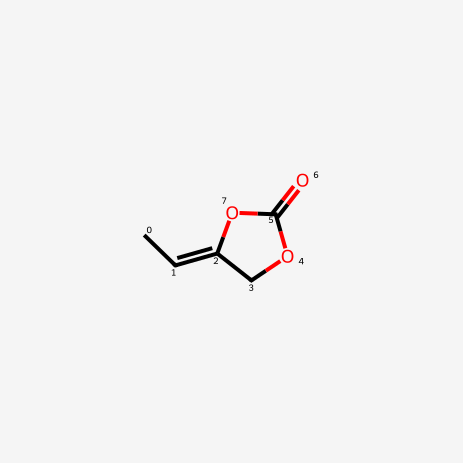 CC=C1COC(=O)O1